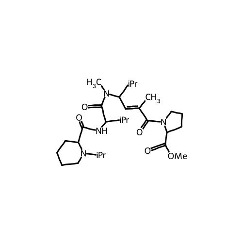 COC(=O)C1CCCN1C(=O)/C(C)=C/C(C(C)C)N(C)C(=O)C(NC(=O)C1CCCCN1C(C)C)C(C)C